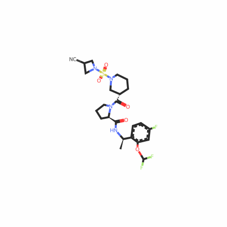 C[C@@H](NC(=O)[C@H]1CCCN1C(=O)[C@H]1CCCN(S(=O)(=O)N2CC(C#N)C2)C1)c1ccc(F)cc1OC(F)F